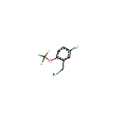 FC(F)(F)Oc1ccc(Cl)cc1CBr